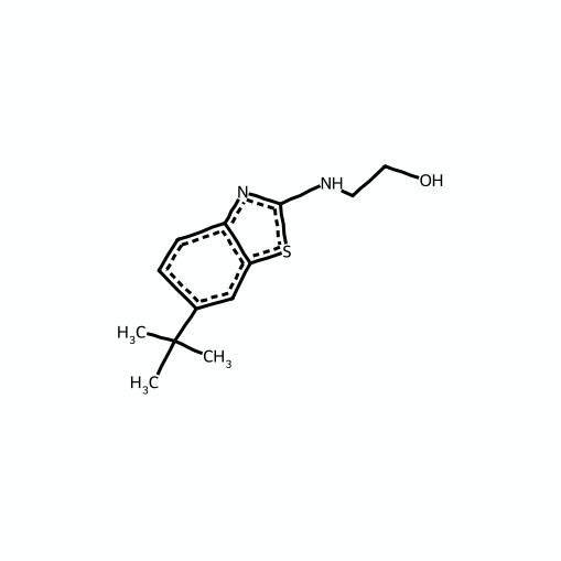 CC(C)(C)c1ccc2nc(NCCO)sc2c1